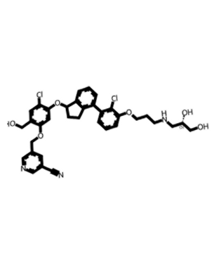 N#Cc1cncc(COc2cc(OC3CCc4c(-c5cccc(OCCCNC[C@H](O)CO)c5Cl)cccc43)c(Cl)cc2CO)c1